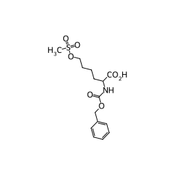 CS(=O)(=O)OCCCCC(NC(=O)OCc1ccccc1)C(=O)O